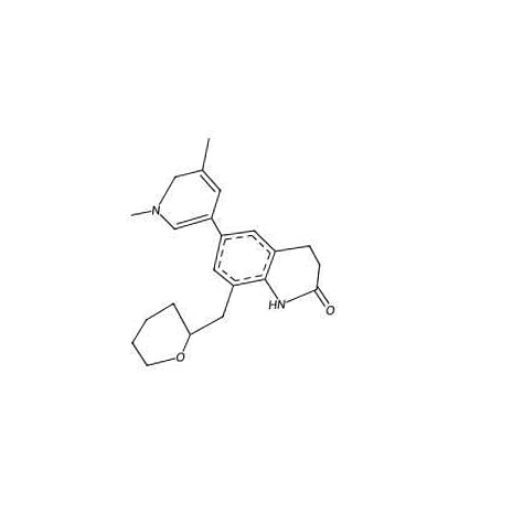 CC1=CC(c2cc3c(c(CC4CCCCO4)c2)NC(=O)CC3)=CN(C)C1